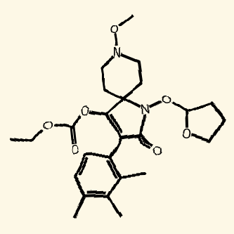 CCOC(=O)OC1=C(c2ccc(C)c(C)c2C)C(=O)N(OC2CCCO2)C12CCN(OC)CC2